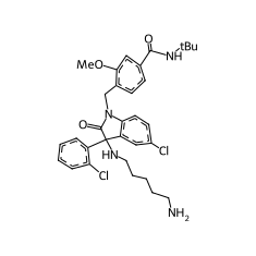 COc1cc(C(=O)NC(C)(C)C)ccc1CN1C(=O)C(NCCCCCN)(c2ccccc2Cl)c2cc(Cl)ccc21